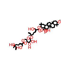 C=CC(C)(O)CC/C=C(\CO)C(=O)OC1C(C)OC(O[C@](C)(C=C)CC/C=C(\CO)C(=O)OC2CC3(C(=O)OC)C(O)CC4(C)C(=CCC5C6(C)CCC(OC)C(C)(C)C6CCC54C)C3CC2(C)C)C(O)C1O